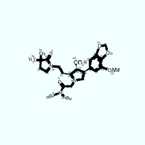 CCCCN(CCCC)C(=O)CN1C[C@H](c2cc(OC)c3c(c2)OCO3)[C@@H](C(=O)O)[C@@H]1CCN1CCC(C)(C)C1=O